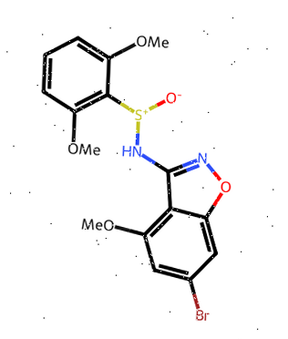 COc1cccc(OC)c1[S+]([O-])Nc1noc2cc(Br)cc(OC)c12